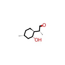 C[C@@H]1CC[C@@H]([C@@H](C)C=O)[C@H](O)C1